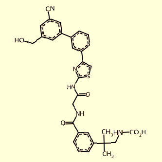 CC(C)(CNC(=O)O)c1cccc(C(=O)NCC(=O)Nc2nc(-c3cccc(-c4cc(C#N)cc(CO)c4)c3)cs2)c1